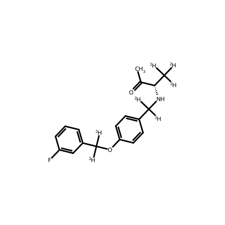 [2H]C([2H])(N[C@H](C(C)=O)C([2H])([2H])[2H])c1ccc(OC([2H])([2H])c2cccc(F)c2)cc1